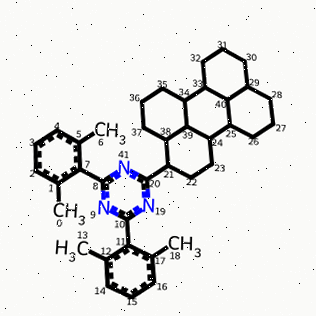 Cc1cccc(C)c1-c1nc(-c2c(C)cccc2C)nc(C2CCC3C4CCCC5CCCC(C6CCCC2C63)C54)n1